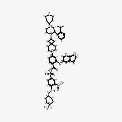 CC(C)c1ccccc1C1CN(C2CCOCC2)CCN1C1CC2(CCN(c3ccc(C(=O)NS(=O)(=O)c4ccc(NC[C@H]5CC[C@](C)(O)CC5)c([N+](=O)[O-])c4)c(Oc4cnc5[nH]ccc5c4)c3)CC2)C1